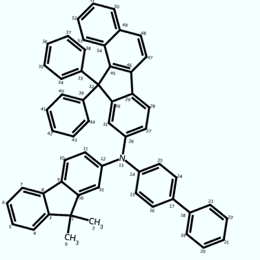 CC1(C)c2ccccc2-c2ccc(N(c3ccc(-c4ccccc4)cc3)c3ccc4c(c3)C(c3ccccc3)(c3ccccc3)c3c-4ccc4ccccc34)cc21